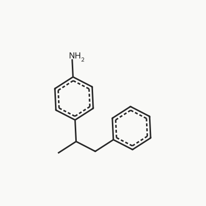 CC(Cc1ccccc1)c1ccc(N)cc1